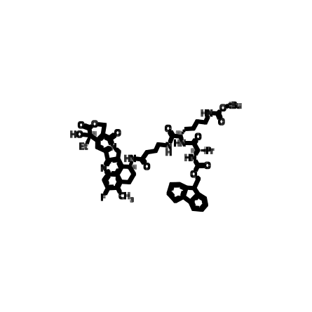 CC[C@@]1(O)C(=O)OCc2c1cc1n(c2=O)Cc2c-1nc1cc(F)c(C)c3c1c2[C@@H](NC(=O)CCCNC(=O)[C@H](CCCCNC(=O)OC(C)(C)C)NC(=O)[C@@H](NC(=O)OCC1c2ccccc2-c2ccccc21)C(C)C)CC3